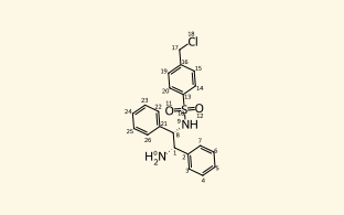 N[C@@H](c1ccccc1)[C@@H](NS(=O)(=O)c1ccc(CCl)cc1)c1ccccc1